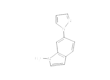 Cn1ccc2ccc(-n3cccn3)cc21